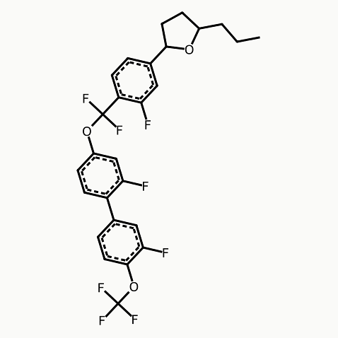 CCCC1CCC(c2ccc(C(F)(F)Oc3ccc(-c4ccc(OC(F)(F)F)c(F)c4)c(F)c3)c(F)c2)O1